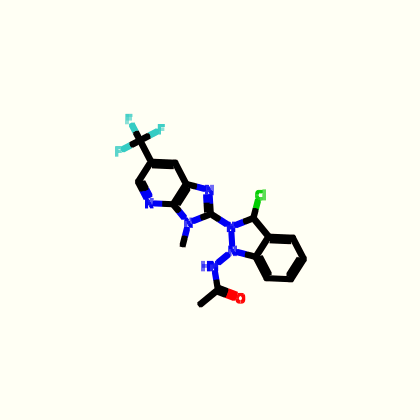 CC(=O)NN1c2ccccc2C(Cl)N1c1nc2cc(C(F)(F)F)cnc2n1C